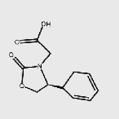 O=C(O)CN1C(=O)OC[C@@H]1C1C=CC=CC1